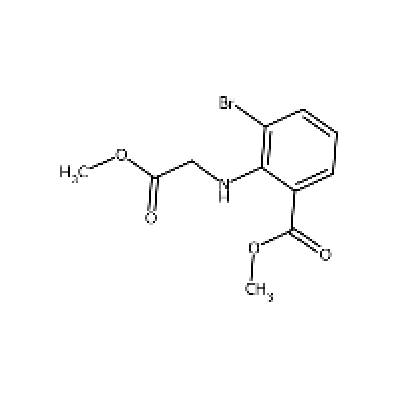 COC(=O)CNc1c(Br)cccc1C(=O)OC